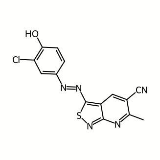 Cc1nc2nsc(/N=N/c3ccc(O)c(Cl)c3)c2cc1C#N